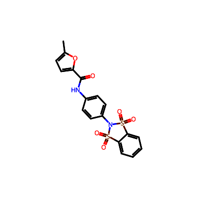 Cc1ccc(C(=O)Nc2ccc(N3S(=O)(=O)c4ccccc4S3(=O)=O)cc2)o1